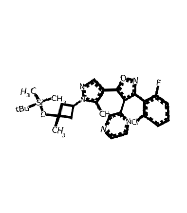 Cc1c(-c2onc(-c3c(F)cccc3Cl)c2-c2cnccn2)cnn1C1CC(C)(O[Si](C)(C)C(C)(C)C)C1